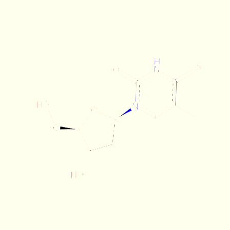 Cc1cn([C@H]2C[C@H](O)[C@@H]([12CH2]O)O2)c(=O)[nH]c1=O